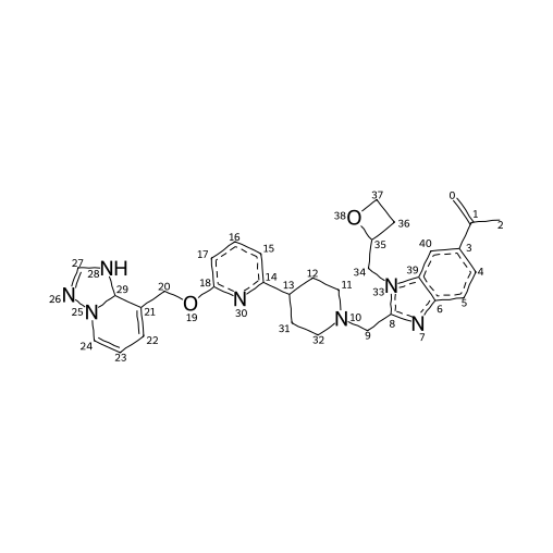 C=C(C)c1ccc2nc(CN3CCC(c4cccc(OCC5=CC=CN6N=CNC56)n4)CC3)n(CC3CCO3)c2c1